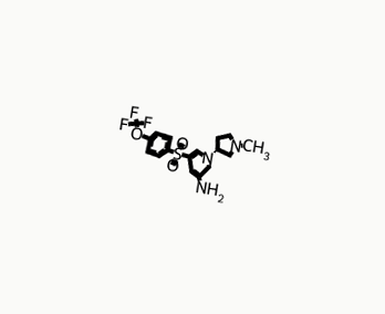 CN1CC[C@@H](N2C=C(S(=O)(=O)c3ccc(OC(F)(F)F)cc3)C=C(N)C2)C1